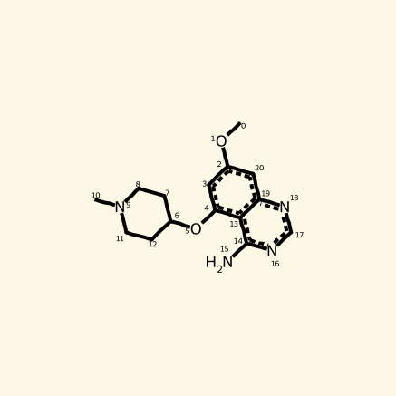 COc1cc(OC2CCN(C)CC2)c2c(N)ncnc2c1